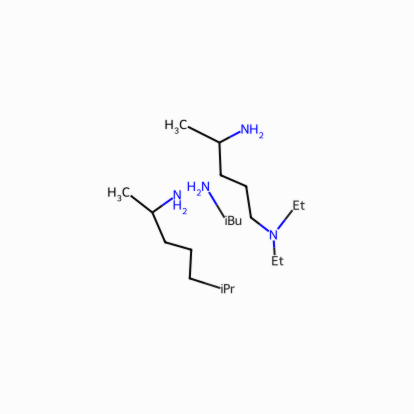 CC(C)CCCC(C)N.CCC(C)N.CCN(CC)CCCC(C)N